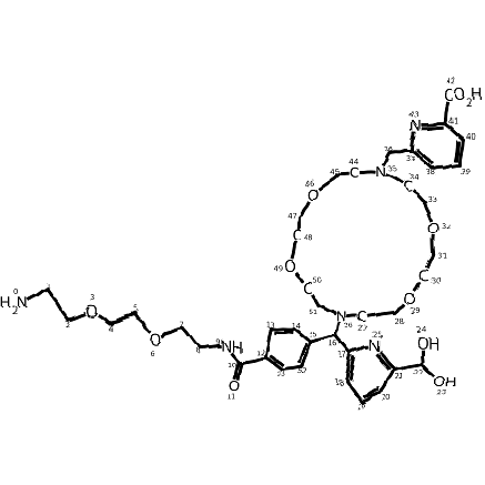 NCCOCCOCCNC(=O)c1ccc(C(c2cccc(C(O)O)n2)N2CCOCCOCCN(Cc3cccc(C(=O)O)n3)CCOCCOCC2)cc1